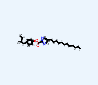 CCCCCCCCCCCCc1cnc(C(=O)Oc2ccc(C[C@@H](C)CC)cc2)nc1